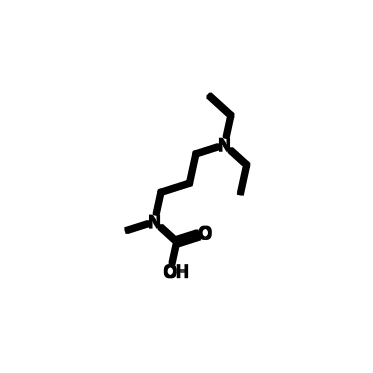 CCN(CC)CCCN(C)C(=O)O